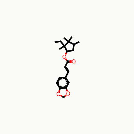 CCC1(C)C(OC(=O)/C=C/c2ccc3c(c2)OCO3)CC(C)C1(C)C